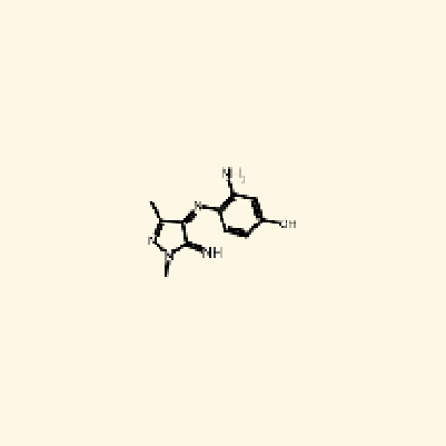 CC1=NN(C)C(=N)C1=Nc1ccc(O)cc1N